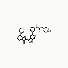 O=C(CC1CCNCC1)Nc1cncc(-c2cc3c(-c4nc5c(N6CCCCC6)ccnc5[nH]4)n[nH]c3cn2)c1